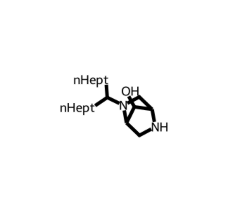 CCCCCCCC(CCCCCCC)N1CC2NCC1C2O